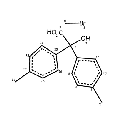 CBr.Cc1ccc(C(O)(C(=O)O)c2ccc(C)cc2)cc1